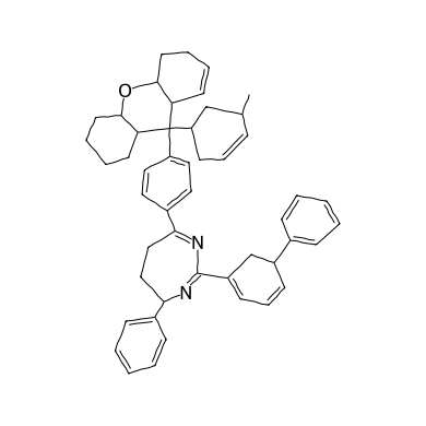 CC1C=CCC(C2(c3ccc(C4=NC(C5=CC=CC(c6ccccc6)C5)=NC(c5ccccc5)CC4)cc3)C3C=CCCC3OC3CCCCC32)C1